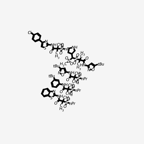 CC(C)(C)c1cc(NC(=O)C(C)(C)S(=O)(=O)C(C2CCNC2)S(C)(=O)=O)no1.CCCS(=O)(=O)C(C)(C)C(=O)Nc1cc(C(C)(C)C)no1.CCCS(=O)(=O)C(C)(C)C(=O)Nc1cccc(C(C)(C)C)c1.CCCS(=O)(=O)C(C)(C)C(=O)Nc1nc(-c2ccc(Cl)cc2)cs1.CCCS(=O)(=O)C(C)(C)C(=O)Nc1nc2ccccc2s1